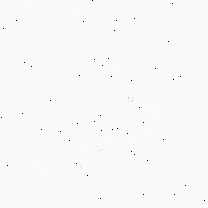 [O-][S+](c1ccccc1)N1CCOC2(CCN(CCC3=CCC=CC=C3)CC2)C1